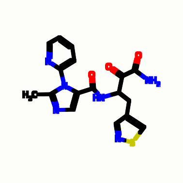 Cc1ncc(C(=O)NC(Cc2cnsc2)C(=O)C(N)=O)n1-c1ccccn1